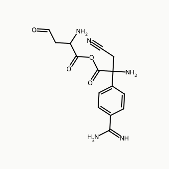 N#CCC(N)(C(=O)OC(=O)C(N)CC=O)c1ccc(C(=N)N)cc1